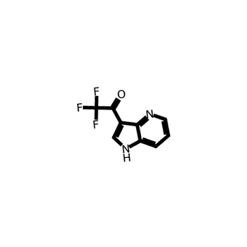 O=C(c1c[nH]c2cccnc12)C(F)(F)F